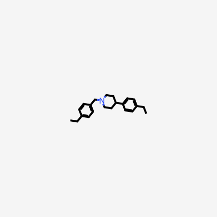 CCc1ccc(CN2CCC(c3ccc(CC)cc3)CC2)cc1